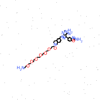 NCCOCCOCCOCCOCCOCCOCCC(=O)N1CCc2cc(Cn3nc(-c4ccc5oc(N)nc5c4)c4c(N)ncnc43)ccc2C1